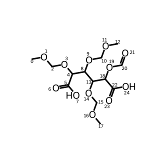 COCOC(C(=O)O)C(OCOC)C(OCOC)C(OC=O)C(=O)O